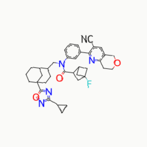 N#Cc1cc2c(nc1-c1cccc(N(CC3CCC4(c5nc(C6CC6)no5)CCCC3C4)C(=O)C3CC4(F)CC3C4)c1)CCOC2